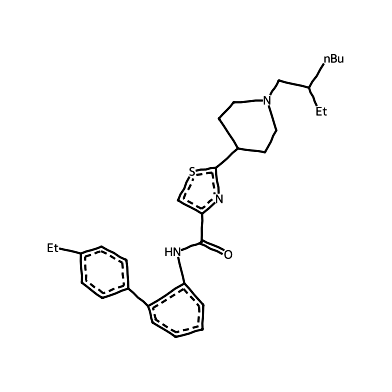 CCCCC(CC)CN1CCC(c2nc(C(=O)Nc3ccccc3-c3ccc(CC)cc3)cs2)CC1